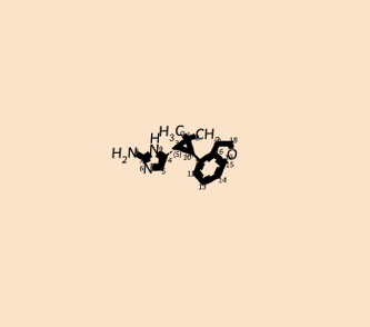 CC1(C)[C@@H](c2cnc(N)[nH]2)[C@@H]1c1cccc2c1CCO2